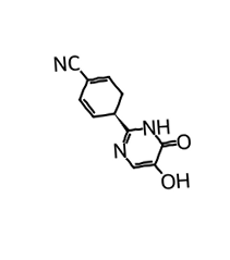 N#CC1=CC[C@@H](c2ncc(O)c(=O)[nH]2)C=C1